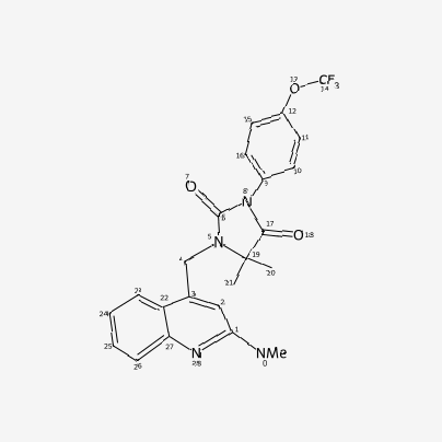 CNc1cc(CN2C(=O)N(c3ccc(OC(F)(F)F)cc3)C(=O)C2(C)C)c2ccccc2n1